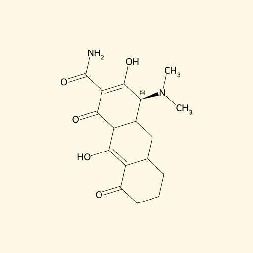 CN(C)[C@@H]1C(O)=C(C(N)=O)C(=O)C2C(O)=C3C(=O)CCCC3CC21